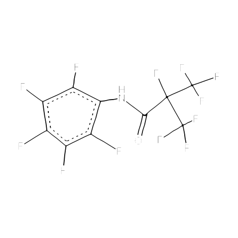 O=C(Nc1c(F)c(F)c(F)c(F)c1F)C(F)(C(F)(F)F)C(F)(F)F